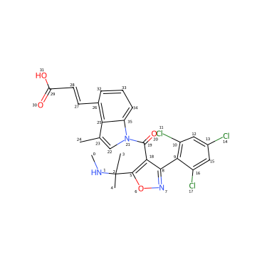 CNC(C)(C)c1onc(-c2c(Cl)cc(Cl)cc2Cl)c1C(=O)n1cc(C)c2c(/C=C/C(=O)O)cccc21